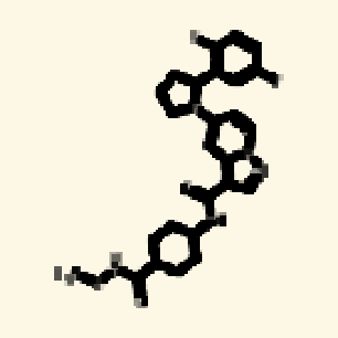 CONC(=O)C1CCC(NC(=O)c2cnn3ccc(N4CCCC4c4cc(F)ccc4F)cc23)CC1